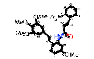 COc1ccc(/C=C/c2cc(OC)c(OC)c(OC)c2)c(NC(=O)/C=C/c2ccccc2[N+](=O)[O-])c1